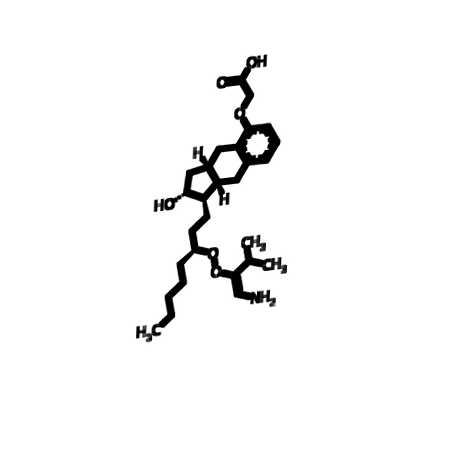 CCCCC[C@@H](CC[C@@H]1[C@H]2Cc3cccc(OCC(=O)O)c3C[C@H]2C[C@H]1O)OO/C(=C/N)C(C)C